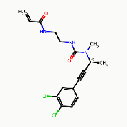 C=CC(=O)NCCNC(=O)N(C)[C@@H](C)C#Cc1ccc(Cl)c(Cl)c1